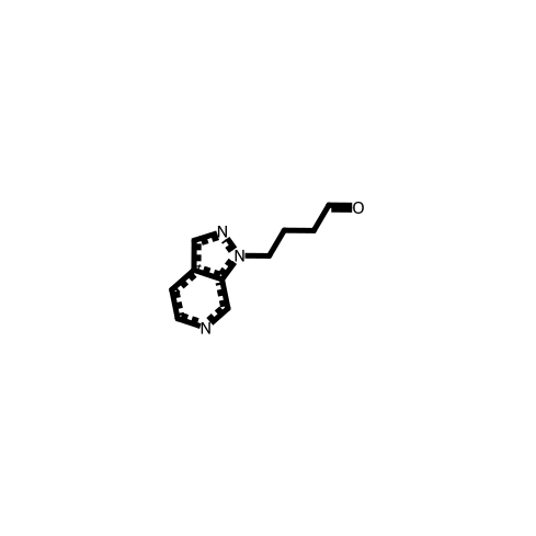 O=CCCCn1ncc2ccncc21